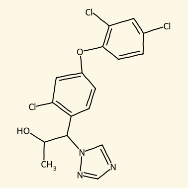 CC(O)C(c1ccc(Oc2ccc(Cl)cc2Cl)cc1Cl)n1cncn1